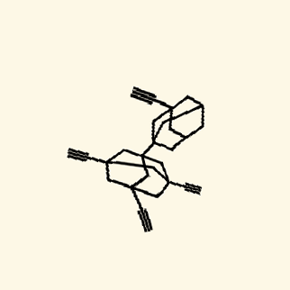 C#CC12CC3CC(C1)CC(C14CC5(C#C)CC(C#C)(CC(C#C)(C5)C1)C4)(C3)C2